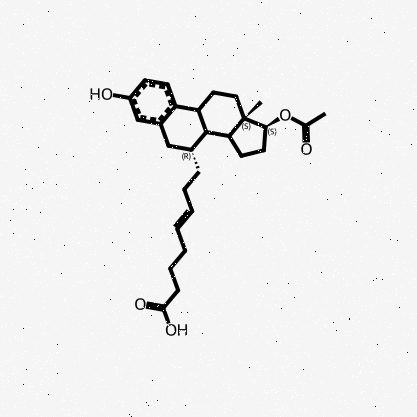 CC(=O)O[C@H]1CCC2C3C(CC[C@@]21C)c1ccc(O)cc1C[C@H]3CCC=CCCCC(=O)O